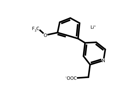 O=C([O-])Cc1cc(-c2cccc(OC(F)(F)F)c2)ccn1.[Li+]